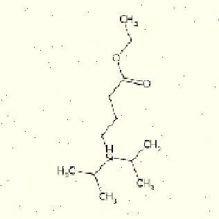 CCOC(=O)CCC[SiH](C(C)C)C(C)C